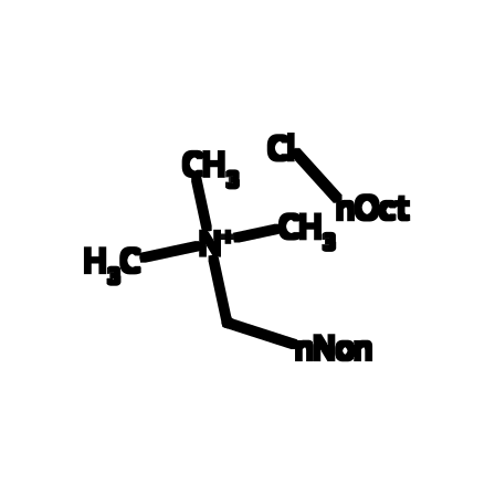 CCCCCCCCCC[N+](C)(C)C.CCCCCCCCCl